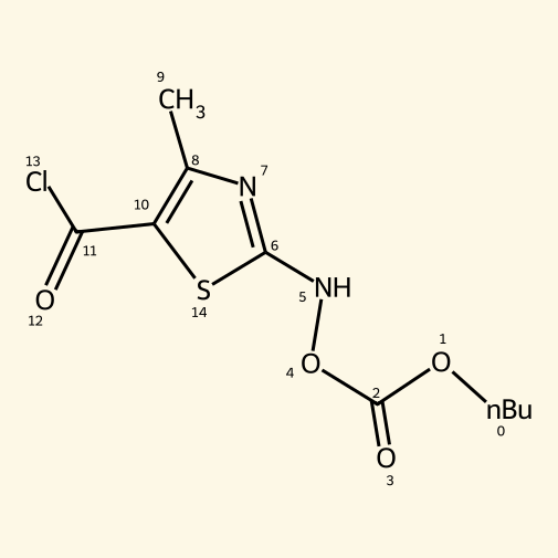 CCCCOC(=O)ONc1nc(C)c(C(=O)Cl)s1